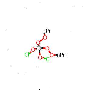 CCCO[O][Ti]([O]Cl)([O]Cl)[O]OCCC